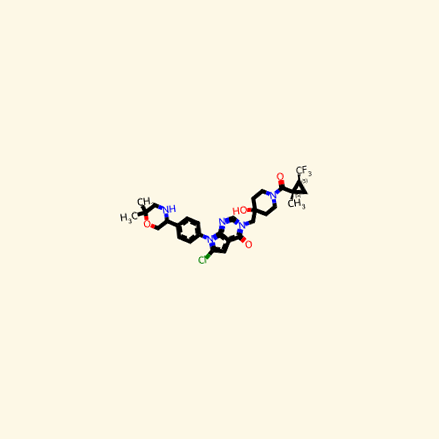 CC1(C)CNC(c2ccc(-n3c(Cl)cc4c(=O)n(CC5(O)CCN(C(=O)[C@@]6(C)C[C@@H]6C(F)(F)F)CC5)cnc43)cc2)CO1